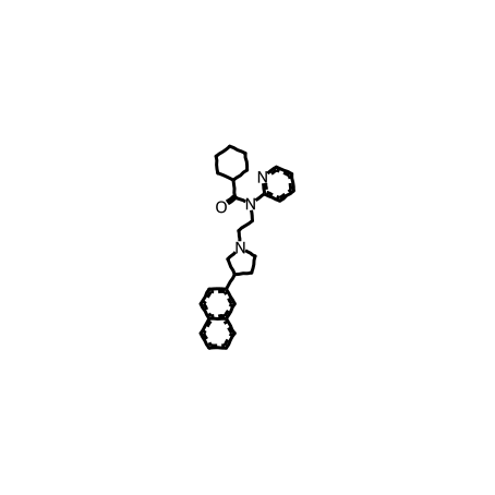 O=C(C1CCCCC1)N(CCN1CCC(c2ccc3ccccc3c2)C1)c1ccccn1